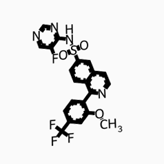 COc1cc(C(F)(F)F)ccc1-c1nccc2cc(S(=O)(=O)Nc3ncncc3F)ccc12